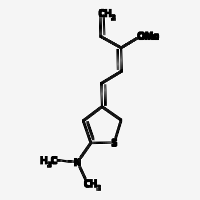 C=C/C(=C\C=C1\C=C(N(C)C)SC1)OC